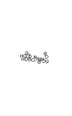 COc1cccc(-c2cc(C(=O)Nc3cnc4cc(O[C@@H]5OC(C)(C)[C@H](OC)[C@@H](O)[C@H]5O)ccc4c3)ccc2OC)c1